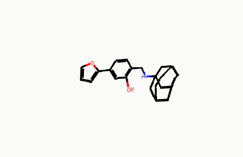 Oc1cc(-c2ccco2)ccc1CNC12CC3CC(CC(C3)C1)C2